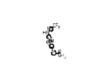 NC(=O)C1CCCN(c2ccc(S(=O)(=O)N3CCC(Nc4ccc(C(F)(F)F)cn4)CC3)cc2)C1